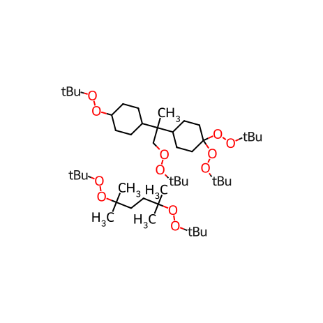 CC(C)(C)OOC(C)(C)CCC(C)(C)OOC(C)(C)C.CC(C)(C)OOCC(C)(C1CCC(OOC(C)(C)C)CC1)C1CCC(OOC(C)(C)C)(OOC(C)(C)C)CC1